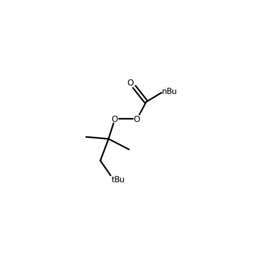 CCCCC(=O)OOC(C)(C)CC(C)(C)C